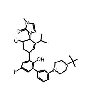 CC(C)C1=CC(c2cc(F)cc(-c3cccc(N4CCN(C(C)(C)C)CC4)c3)c2O)CC(Cl)C1n1ccn(C)c1=O